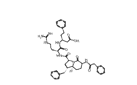 N=C(N)NCC[C@H](NC(=O)[C@@H]1C[C@@H](Cc2ccccc2)[C@@H]2CCC(NC(=O)Cc3ccccc3)C(=O)N12)C(=O)N[C@@H](CCc1ccccc1)CC(=O)O